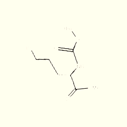 COC(=O)[C@H](CCCC(C)C)NC(=O)OC(C)(C)C